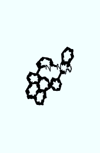 c1ccc(-c2nc3ccccc3n2-c2cccc(-c3ccc4ccc5cccc6ccc3c4c56)n2)cc1